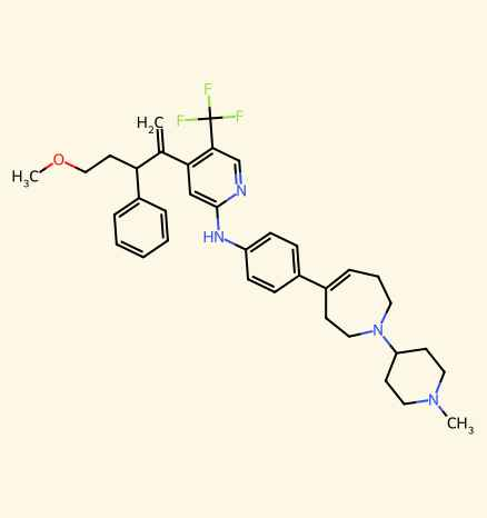 C=C(c1cc(Nc2ccc(C3=CCCN(C4CCN(C)CC4)CC3)cc2)ncc1C(F)(F)F)C(CCOC)c1ccccc1